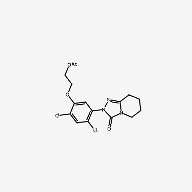 CC(=O)OCCOc1cc(-n2nc3n(c2=O)CCCC3)c(Cl)cc1Cl